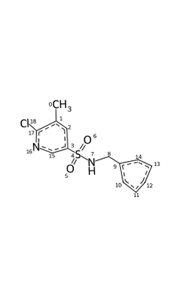 Cc1cc(S(=O)(=O)NCc2ccccc2)cnc1Cl